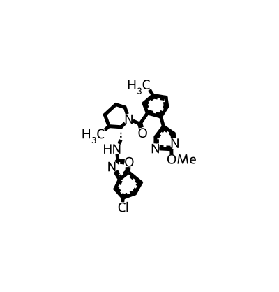 COc1ncc(-c2ccc(C)cc2C(=O)N2CCCC(C)[C@H]2CNc2nc3cc(Cl)ccc3o2)cn1